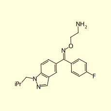 CC(C)Cn1ncc2cc(/C(=N/OCCN)c3ccc(F)cc3)ccc21